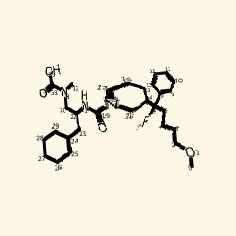 COCCCCC(F)(c1ccccc1)C1CCCN(C(=O)N[C@@H](CC2CCCCC2)CN(C)C(=O)O)C1